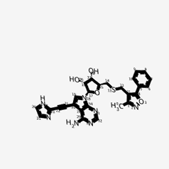 Cc1noc(-c2ccccc2)c1CSC[C@H]1O[C@@H](n2cc(C#Cc3ncc[nH]3)c3c(N)ncnc32)[C@H](O)[C@@H]1O